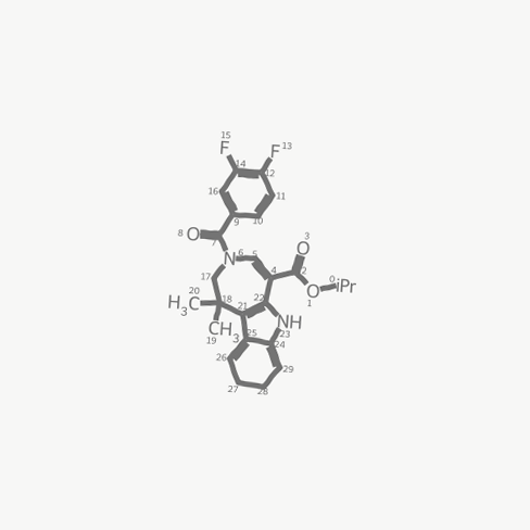 CC(C)OC(=O)C1=CN(C(=O)c2ccc(F)c(F)c2)CC(C)(C)c2c1[nH]c1c2=CCCC=1